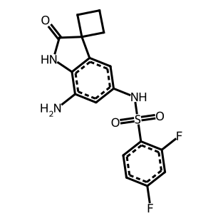 Nc1cc(NS(=O)(=O)c2ccc(F)cc2F)cc2c1NC(=O)C21CCC1